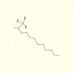 CCCCCCCCCCC(C)C(F)(F)F